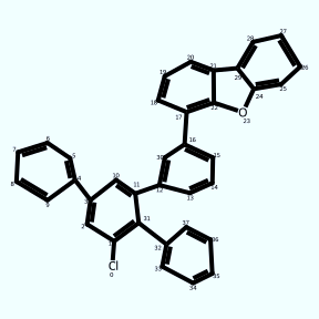 Clc1cc(-c2ccccc2)cc(-c2cccc(-c3cccc4c3oc3ccccc34)c2)c1-c1ccccc1